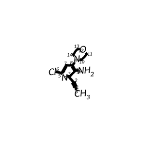 CC#Cc1nc(Cl)cc(N2CCOCC2)c1N